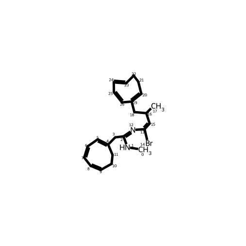 CN/C(C/C1=C/C=C\C=C/CC1)=N\C(Br)=C/C(C)CC1=C/CC/C=C/C=C\1